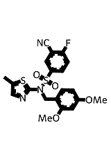 COc1ccc(CN(c2ncc(C)s2)S(=O)(=O)c2ccc(F)c(C#N)c2)c(OC)c1